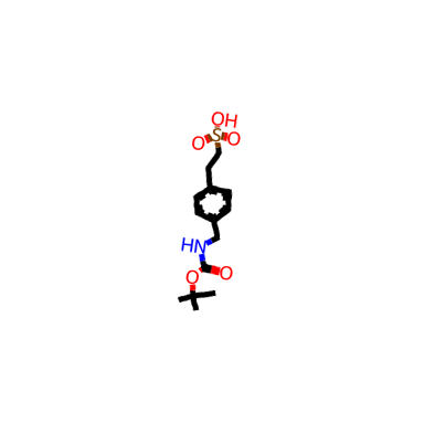 CC(C)(C)OC(=O)NCc1ccc(CCS(=O)(=O)O)cc1